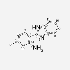 Cc1ccc(-c2nc3ccccc3[nH]2)c(N)c1